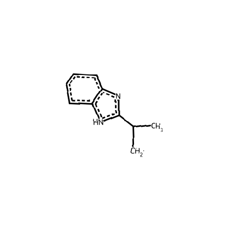 [CH2]C(C)c1nc2ccccc2[nH]1